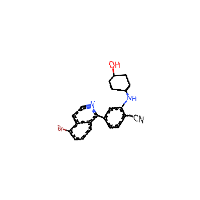 N#Cc1ccc(-c2nccc3c(Br)cccc23)cc1NC1CCC(O)CC1